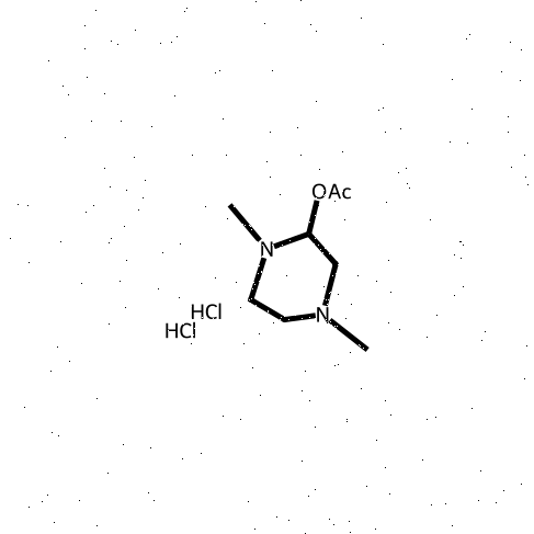 CC(=O)OC1CN(C)CCN1C.Cl.Cl